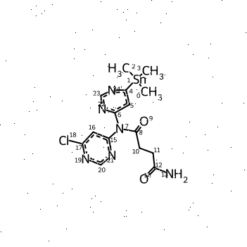 [CH3][Sn]([CH3])([CH3])[c]1cc(N(C(=O)CCC(N)=O)c2cc(Cl)ncn2)ncn1